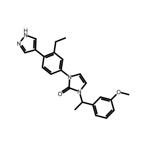 CCc1cc(-n2ccn(C(C)c3cccc(OC)c3)c2=O)ccc1-c1cn[nH]c1